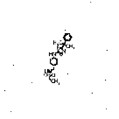 CCS(=O)(=O)NC[C@H]1CC[C@H](Nc2nc(C(C)(C)c3ccccc3)no2)CC1